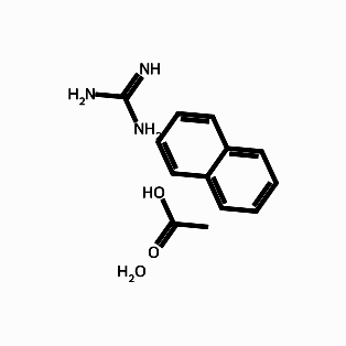 CC(=O)O.N=C(N)N.O.c1ccc2ccccc2c1